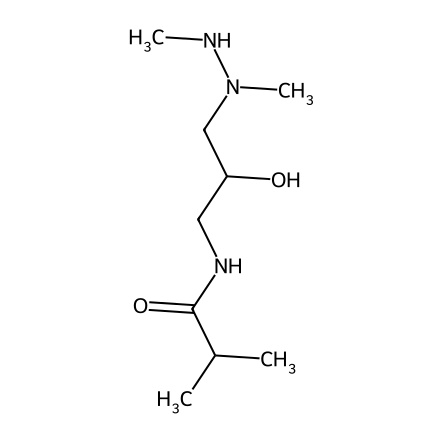 CNN(C)CC(O)CNC(=O)C(C)C